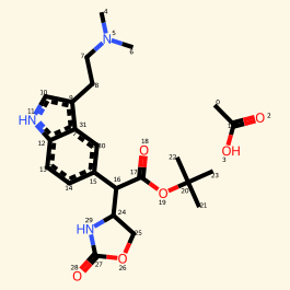 CC(=O)O.CN(C)CCc1c[nH]c2ccc(C(C(=O)OC(C)(C)C)C3COC(=O)N3)cc12